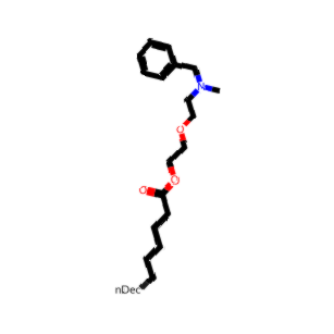 CCCCCCCCCCCCCCCC(=O)OCCOCCN(C)Cc1ccccc1